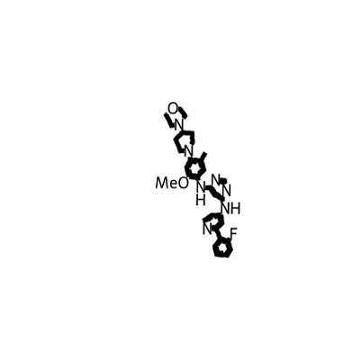 COc1cc(N2CCC(N3CCOCC3)CC2)c(C)cc1Nc1cc(Nc2ccnc(-c3ccccc3F)c2)ncn1